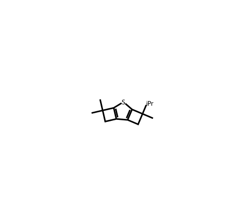 CC(C)C1(C)Cc2c1sc1c2CC1(C)C